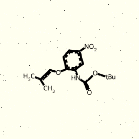 CC(C)=COc1ccc([N+](=O)[O-])cc1NC(=O)OC(C)(C)C